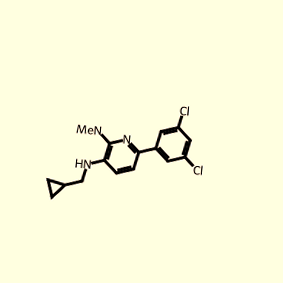 CNc1nc(-c2cc(Cl)cc(Cl)c2)ccc1NCC1CC1